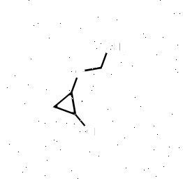 [CH2]COC1CC1C